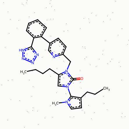 CCCCc1cn(-c2c(CCC)ccn2C)c(=O)n1Cc1ccc(-c2ccccc2-c2nnn[nH]2)cn1